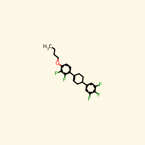 CCCCOc1ccc(C2=CCC(c3cc(F)c(F)c(F)c3)CC2)c(F)c1F